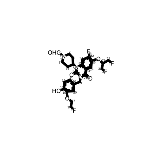 O=CN1CCC(n2c(=O)n(Cc3ccc(O)c(OCCF)c3)c(=O)c3cc(OC(CF)CF)c(F)cc32)CC1